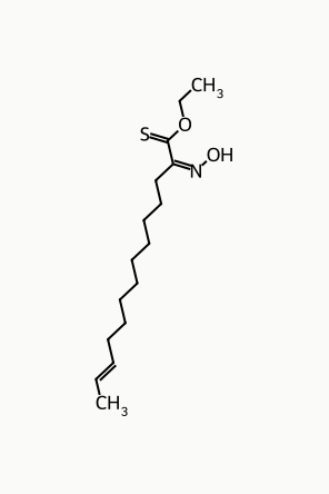 CC=CCCCCCCCCCC(=NO)C(=S)OCC